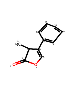 N#CC1C(=O)OC=C1c1ccccc1